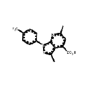 Cc1cc(C(=O)O)c2c(C)nn(-c3ccc(C(F)(F)F)cc3)c2n1